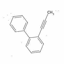 CC#Cc1ccccc1-c1cc[c]cc1